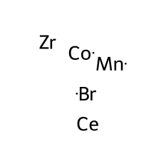 [Br].[Ce].[Co].[Mn].[Zr]